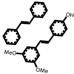 C(=Cc1ccccc1)c1ccccc1.COc1cc(C=Cc2ccc(O)cc2)cc(OC)c1